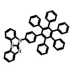 c1ccc(-c2c(-c3ccccc3)c(-c3ccccc3)c(-c3ccc(-n4c5ccccc5n5c6ccccc6nc45)cc3)c(-c3ccccc3)c2-c2ccccc2)cc1